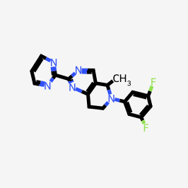 CC1c2cnc(-c3ncccn3)nc2CCN1c1cc(F)cc(F)c1